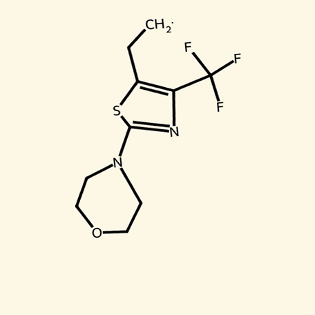 [CH2]Cc1sc(N2CCOCC2)nc1C(F)(F)F